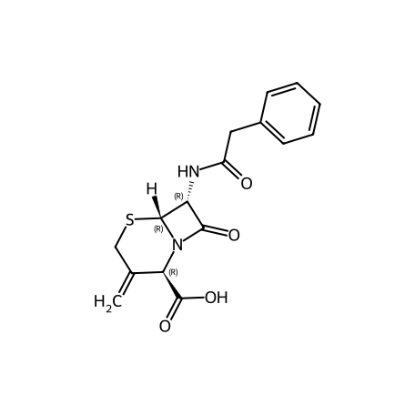 C=C1CS[C@@H]2[C@H](NC(=O)Cc3ccccc3)C(=O)N2[C@H]1C(=O)O